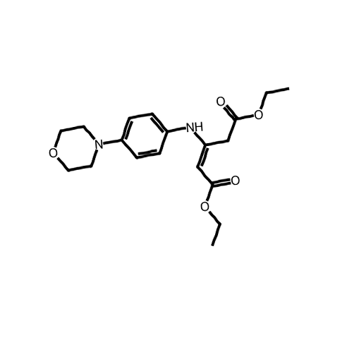 CCOC(=O)C=C(CC(=O)OCC)Nc1ccc(N2CCOCC2)cc1